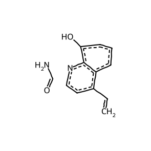 C=Cc1ccnc2c(O)cccc12.NC=O